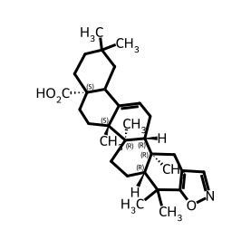 CC1(C)CC[C@]2(C(=O)O)CC[C@]3(C)C(=CC[C@@H]4[C@@]5(C)Cc6cnoc6C(C)(C)[C@@H]5CC[C@]43C)C2C1